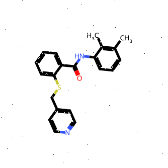 Cc1cccc(NC(=O)c2ccccc2SCc2ccncc2)c1C